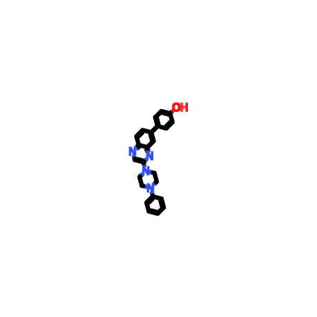 Oc1ccc(-c2ccc3ncc(N4CCN(c5ccccc5)CC4)nc3c2)cc1